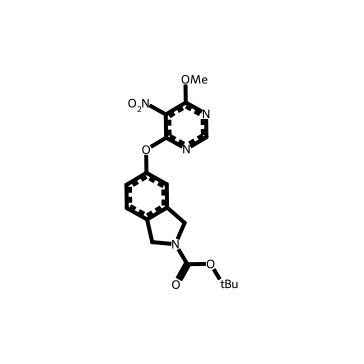 COc1ncnc(Oc2ccc3c(c2)CN(C(=O)OC(C)(C)C)C3)c1[N+](=O)[O-]